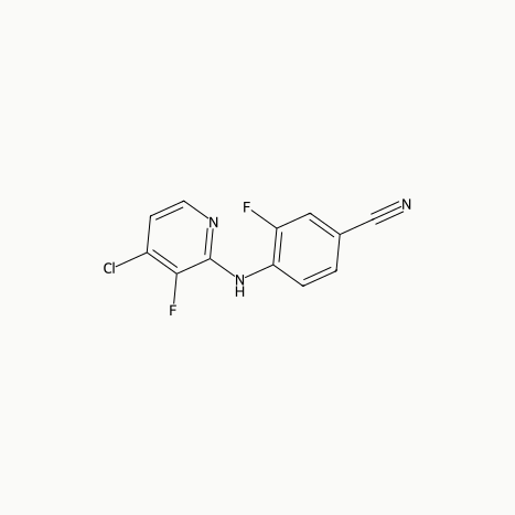 N#Cc1ccc(Nc2nccc(Cl)c2F)c(F)c1